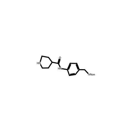 CCCCCCCCCCc1ccc(NC(=O)C2CCNCC2)cc1